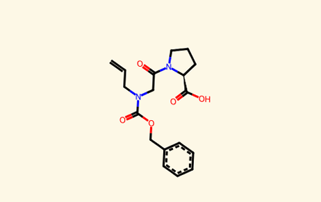 C=CCN(CC(=O)N1CCC[C@H]1C(=O)O)C(=O)OCc1ccccc1